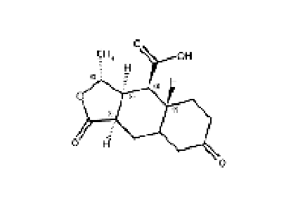 C[C@H]1OC(=O)[C@@H]2CC3CC(=O)CC[C@H]3[C@H](C(=O)O)[C@H]12